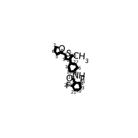 Cc1sc(-c2ccco2)cc1-c1ccc(NC(=O)c2c(F)cccc2F)cc1